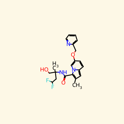 Cc1cc2ccc(OCc3ccccn3)cn2c1C(=O)NC(C)(CO)CC(F)F